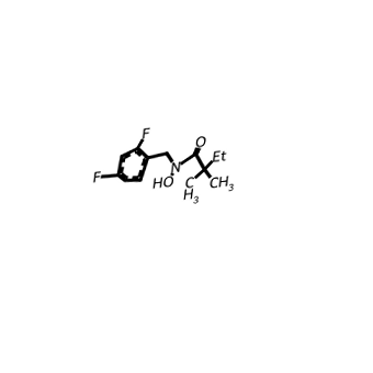 CCC(C)(C)C(=O)N(O)Cc1ccc(F)cc1F